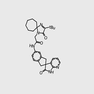 CC(C)(C)C1=NC2(CCCCCC2)N(CC(=O)Nc2ccc3c(c2)CC2(C3)C(=O)Nc3ncccc32)C1=O